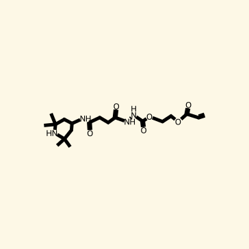 C=CC(=O)OCCOC(=O)NNC(=O)CCC(=O)NC1CC(C)(C)NC(C)(C)C1